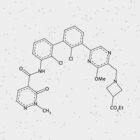 CCOC(=O)C1CN(Cc2ncc(-c3cccc(-c4cccc(NC(=O)c5ccnn(C)c5=O)c4Cl)c3Cl)nc2OC)C1